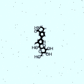 Cc1cc(-c2ccc3c(c2)C(=O)NCC3)ccc1[C@@H](O)[C@H]1O[C@H](CO)[C@@H](O)C(O)C1O